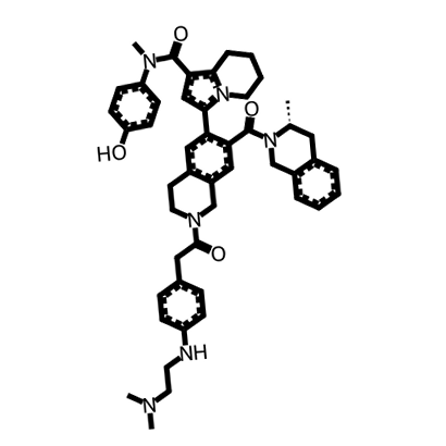 C[C@@H]1Cc2ccccc2CN1C(=O)c1cc2c(cc1-c1cc(C(=O)N(C)c3ccc(O)cc3)c3n1CCCC3)CCN(C(=O)Cc1ccc(NCCN(C)C)cc1)C2